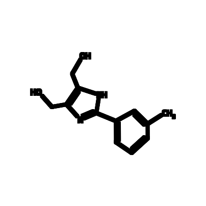 Cc1cccc(-c2nc(CO)c(CO)[nH]2)c1